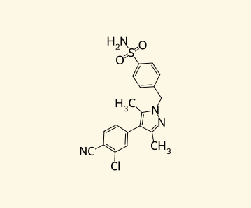 Cc1nn(Cc2ccc(S(N)(=O)=O)cc2)c(C)c1-c1ccc(C#N)c(Cl)c1